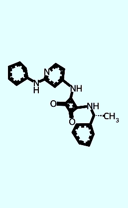 C[C@@H](Nc1c(Nc2ccnc(Nc3ccccc3)c2)c(=O)c1=O)c1ccccc1